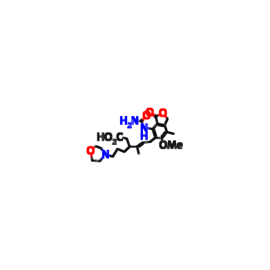 COc1c(C)c2c(c(NC(N)=O)c1C/C=C(\C)C(CCCN1CCOCC1)CC(=O)O)C(=O)OC2